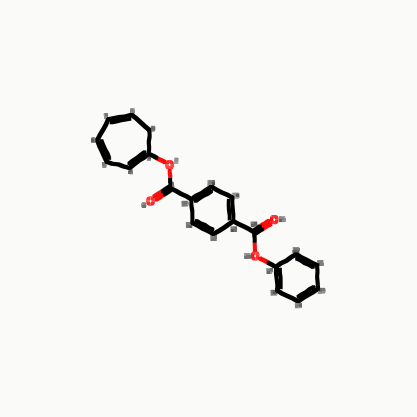 O=C(OC1=CC=CC=CC1)c1ccc(C(=O)Oc2ccccc2)cc1